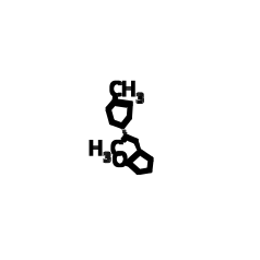 CC1=CC[C@H](C(C)C[C@H]2CCCC2=O)CC1